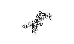 CC(=O)NCC(=O)N1CCC[C@H]1C(=O)N[C@@H](Cc1ccc(NC(=O)CN2CCOCC2)cc1)C(=O)N[C@@H](CCC(C)C)C(=O)[C@@]1(C)CO1